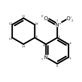 O=[N+]([O-])c1cccnc1C1CC=CCC1